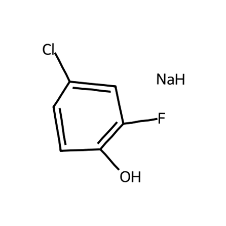 Oc1ccc(Cl)cc1F.[NaH]